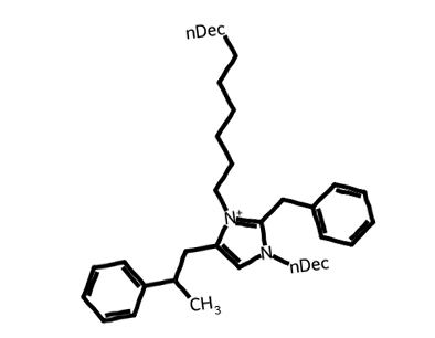 CCCCCCCCCCCCCCCC[n+]1c(CC(C)c2ccccc2)cn(CCCCCCCCCC)c1Cc1ccccc1